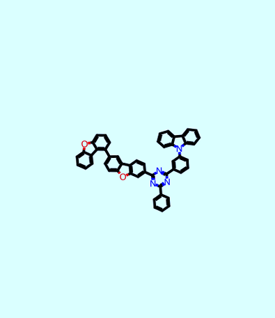 c1ccc(-c2nc(-c3cccc(-n4c5ccccc5c5ccccc54)c3)nc(-c3ccc4c(c3)oc3ccc(-c5cccc6oc7ccccc7c56)cc34)n2)cc1